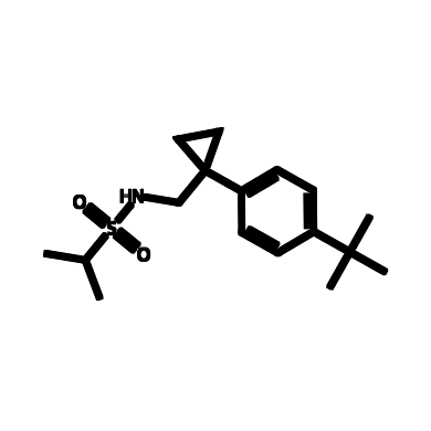 CC(C)S(=O)(=O)NCC1(c2ccc(C(C)(C)C)cc2)CC1